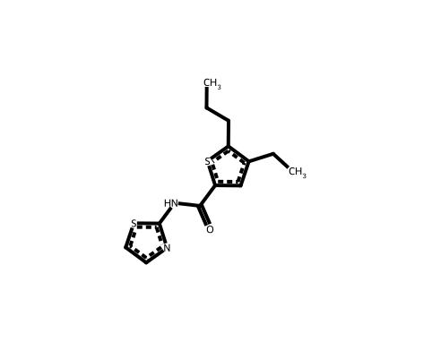 CCCc1sc(C(=O)Nc2nccs2)cc1CC